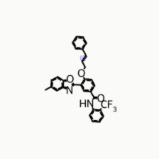 Cc1ccc2oc(-c3cc(C(=O)Nc4ccccc4C(F)(F)F)ccc3OC/C=C/c3ccccc3)nc2c1